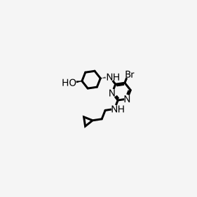 O[C@H]1CC[C@H](Nc2nc(NCCC3CC3)ncc2Br)CC1